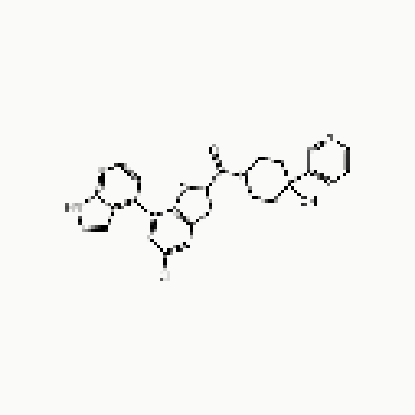 O=C(C1Cc2cc(Cl)cc(-c3ccnc4[nH]ccc34)c2O1)N1CCC(O)(c2cccnc2)CC1